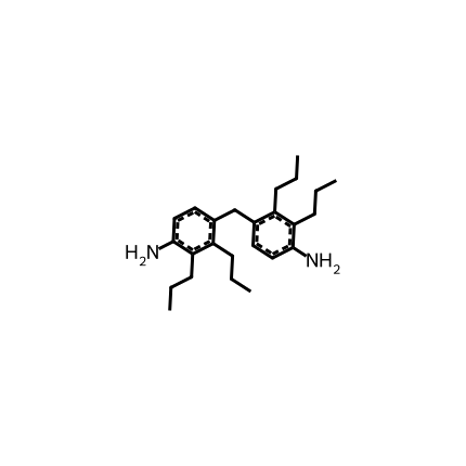 CCCc1c(N)ccc(Cc2ccc(N)c(CCC)c2CCC)c1CCC